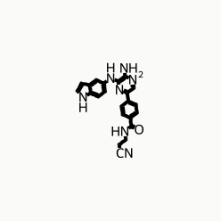 N#CCCNC(=O)c1ccc(-c2cnc(N)c(Nc3ccc4[nH]ccc4c3)n2)cc1